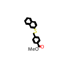 COC(=O)c1ccc(CSc2ccc3ccccc3c2)cc1